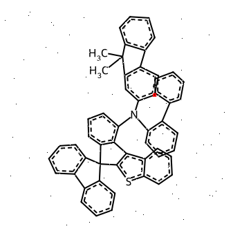 CC1(C)c2ccccc2-c2ccc(N(c3ccccc3-c3ccccc3)c3cccc4c3-c3c(sc5ccccc35)C43c4ccccc4-c4ccccc43)cc21